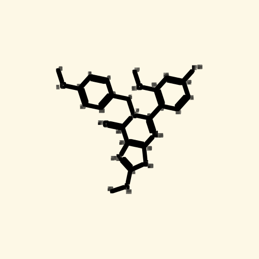 COc1ccc(Cn2c(-c3ccc(F)cc3OC)nc3sc(SC)nc3c2=O)cc1